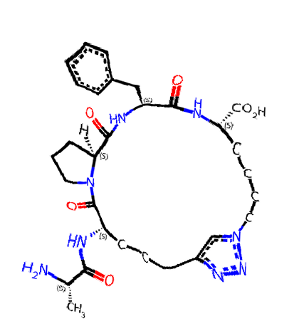 C[C@H](N)C(=O)N[C@H]1CCCc2cn(nn2)CCCC[C@@H](C(=O)O)NC(=O)[C@H](Cc2ccccc2)NC(=O)[C@@H]2CCCN2C1=O